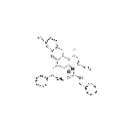 CC(CN1C[C@H]2N(C(=O)CN(C)N2C(=O)NCc2ccccc2)[C@@H](Cc2ccc(O)cc2)C1=O)c1ccccc1